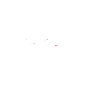 CCOC(=O)C(F)(F)[C@@H](O)[C@H](N)CC1CCCCC1